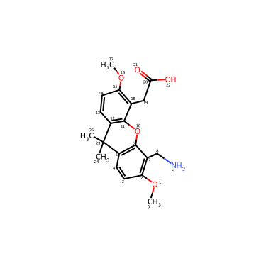 COc1ccc2c(c1CN)Oc1c(ccc(OC)c1CC(=O)O)C2(C)C